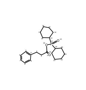 O=C(CCc1ccccc1)OP(=O)(C1CCCCC1)C1CCCCC1